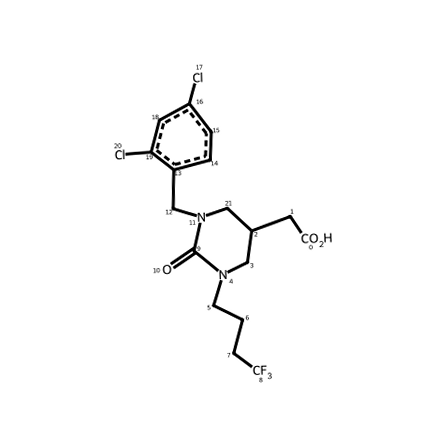 O=C(O)CC1CN(CCCC(F)(F)F)C(=O)N(Cc2ccc(Cl)cc2Cl)C1